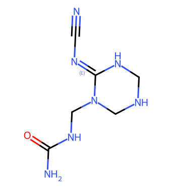 N#C/N=C1\NCNCN1CNC(N)=O